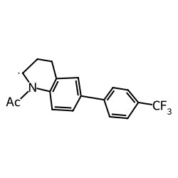 CC(=O)N1[CH]CCc2cc(-c3ccc(C(F)(F)F)cc3)ccc21